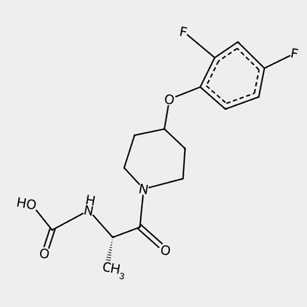 C[C@H](NC(=O)O)C(=O)N1CCC(Oc2ccc(F)cc2F)CC1